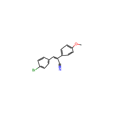 COc1ccc(C(C#N)=Cc2ccc(Br)cc2)cc1